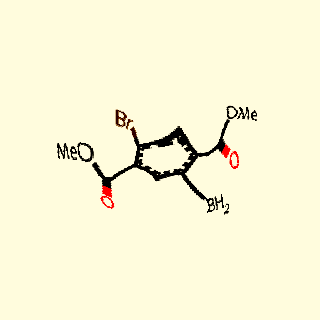 Bc1cc(C(=O)OC)c(Br)cc1C(=O)OC